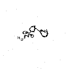 NS(=O)(=O)c1cccc(-c2cccnc2)c1